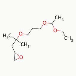 CCOC(C)OCCCOC(C)(C)CC1CO1